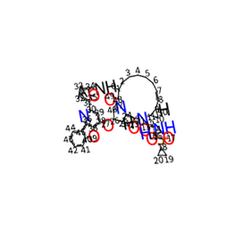 CC(=O)N[C@H]1CCCCC/C=C\[C@@H]2C[C@@]2(C(=O)NS(=O)(=O)C2CC2)NC(=O)[C@@H]2C[C@@H](Oc3cc(-c4ccco4)nc4c3oc3ccccc34)CN2C1=O